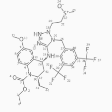 CCOC(=O)N1c2ccc(OC)cc2[C@@H](NC2=NNN(CC[S+](C)[O-])N2Cc2cc(C(F)(F)F)cc(C(F)(F)F)c2)C[C@H]1CC